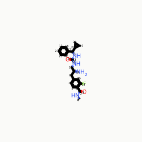 CNC(=O)c1ccc(CC(N)CNC(=O)NC(c2ccccc2)C2CC2)cc1F